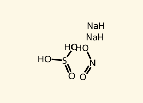 O=NO.O=S(O)O.[NaH].[NaH]